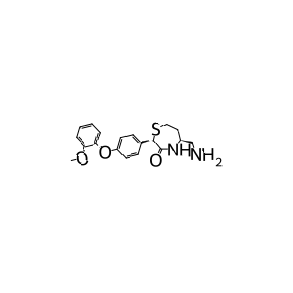 COc1ccccc1Oc1ccc([C@H]2SCC[C@@H](CN)NC2=O)cc1